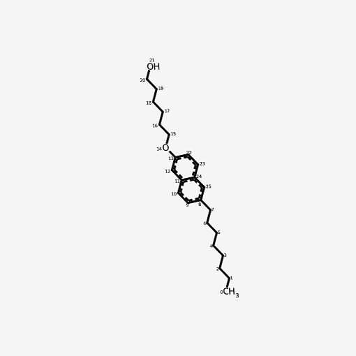 CCCCCCCCc1ccc2cc(OCCCCCCO)ccc2c1